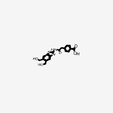 O=C(Cc1ccc(C(=O)O)cc1)Nc1nc2cc(CO)c(CO)cc2s1